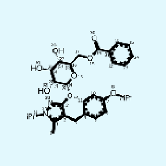 Cc1c(Cc2ccc(OC(C)C)cc2)c(O[C@H]2O[C@H](COC(=O)c3ccccc3)[C@@H](O)[C@H](O)[C@H]2O)nn1C(C)C